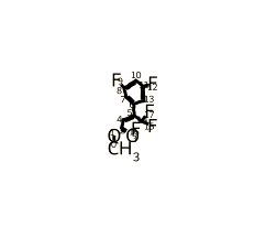 COC(=O)C=C(c1cc(F)cc(F)c1)C(F)(F)F